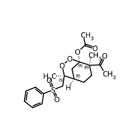 CC(=O)O[C@@]12C[C@@H](CC[C@]1(C)C(C)=O)[C@@](C)(CS(=O)(=O)c1ccccc1)OO2